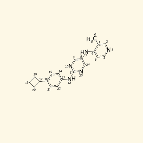 Cc1cnccc1Nc1cnc(Nc2ccc(C3CCC3)cc2)nc1